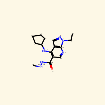 CCn1ncc2c(NC3CCCC3)c(C(=O)NNC)cnc21